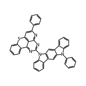 c1ccc(-c2cc3c4c(nc(-n5c6ccccc6c6cc7c(cc65)c5ccccc5n7-c5ccccc5)nc4n2)-c2ccccc2S3)cc1